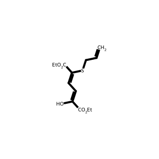 C=CCSC(=CC=C(O)C(=O)OCC)C(=O)OCC